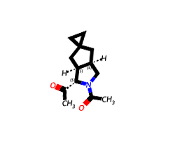 CC(=O)[C@@H]1[C@H]2CC3(CC3)C[C@H]2CN1C(C)=O